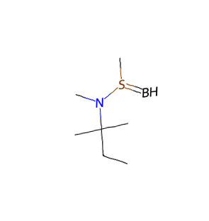 B=S(C)N(C)C(C)(C)CC